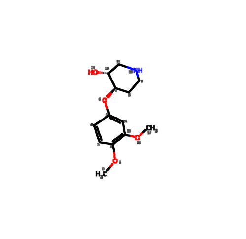 COc1ccc(O[C@@H]2CCNC[C@H]2O)cc1OC